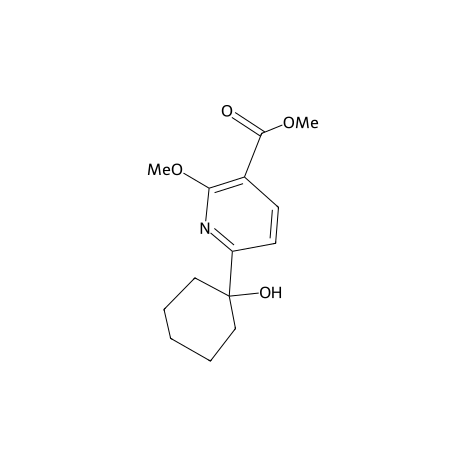 COC(=O)c1ccc(C2(O)CCCCC2)nc1OC